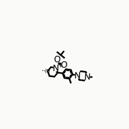 Cc1cc(C2=[N+](C(=O)OC(C)(C)C)C[C@@H](C)CC2)ccc1N1CCN(C)CC1